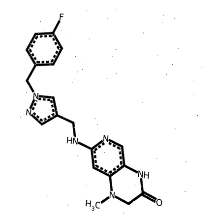 CN1CC(=O)Nc2cnc(NCc3cnn(Cc4ccc(F)cc4)c3)cc21